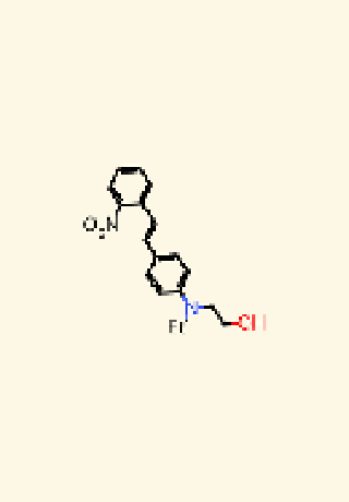 CCN(CCO)c1ccc(C=Cc2ccccc2[N+](=O)[O-])cc1